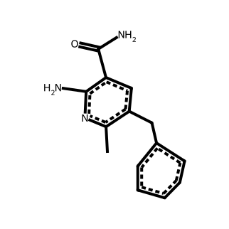 Cc1nc(N)c(C(N)=O)cc1Cc1ccccc1